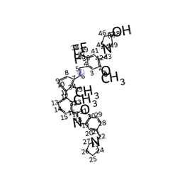 COc1cc(/C=C/c2cccc(-c3cccc(-c4nc5cc(CN6CCCC6)ccc5o4)c3C)c2C)c(C(F)(F)F)cc1CN1CC[C@H](O)C1